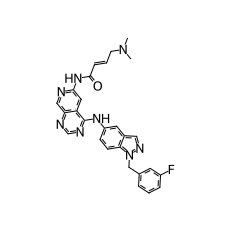 CN(C)C/C=C/C(=O)Nc1cc2c(Nc3ccc4c(cnn4Cc4cccc(F)c4)c3)ncnc2cn1